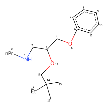 CCCNCC(COc1ccccc1)OCC(C)(C)CC